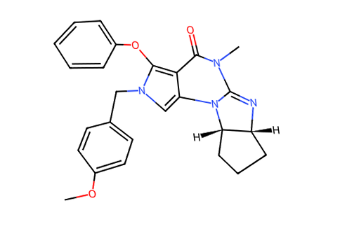 COc1ccc(Cn2cc3c(c2Oc2ccccc2)C(=O)N(C)C2=N[C@@H]4CCC[C@@H]4N23)cc1